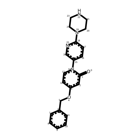 O=c1cc(OCc2ccccc2)ccn1-c1ccc(N2CCNCC2)nc1